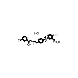 Cl.O=C(O)Cc1cc(S(=O)(=O)c2ccc(CCNC[C@@H](O)c3cccc(Cl)c3)cc2)ccc1O